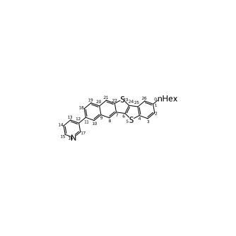 CCCCCCc1ccc2sc3c4cc5cc(-c6cccnc6)ccc5cc4sc3c2c1